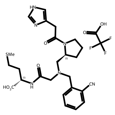 CSCC[C@H](NC(=O)CN(Cc1ccccc1C#N)C[C@@H]1CCCN1C(=O)Cc1c[nH]cn1)C(=O)O.O=C(O)C(F)(F)F